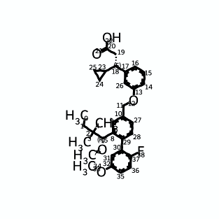 CCC(C)(C)[C@@H](OC)c1cc(COc2cccc([C@@H](CC(=O)O)C3CC3)c2)ccc1-c1cc(OC)ccc1F